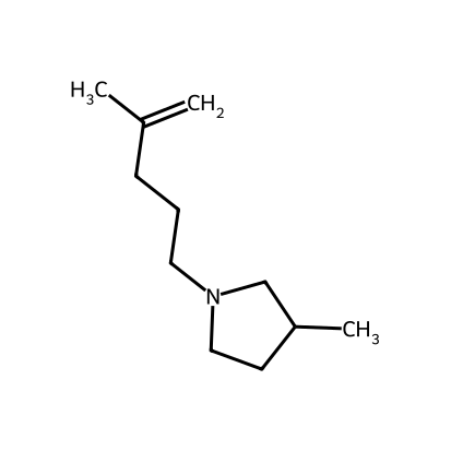 C=C(C)CCCN1CCC(C)C1